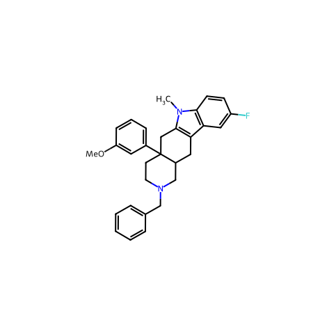 COc1cccc(C23CCN(Cc4ccccc4)CC2Cc2c(n(C)c4ccc(F)cc24)C3)c1